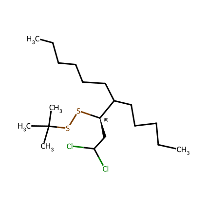 CCCCCCC(CCCCC)[C@@H](CC(Cl)Cl)SSC(C)(C)C